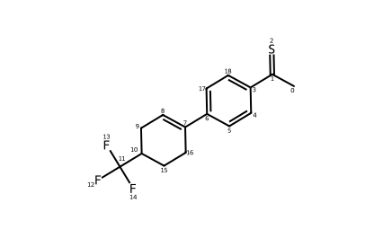 CC(=S)c1ccc(C2=CCC(C(F)(F)F)CC2)cc1